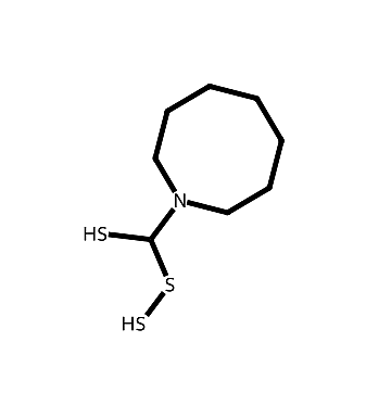 SSC(S)N1CCCCCCC1